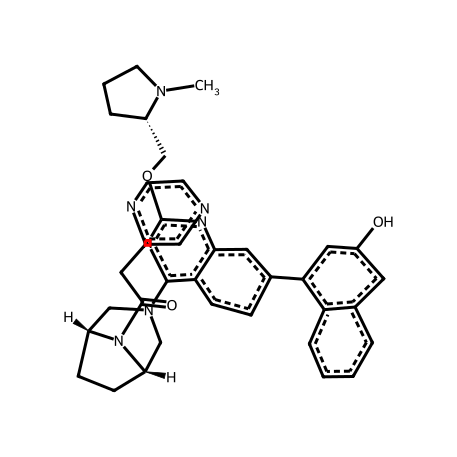 CN1CCC[C@H]1COc1nc(N2C[C@H]3CC[C@@H](C2)N3C(=O)Cc2cnccn2)c2ccc(-c3cc(O)cc4ccccc34)cc2n1